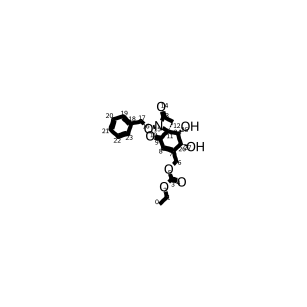 CCOC(=O)OCC1=CC(=O)[C@]2(CC(=O)N2OCc2ccccc2)[C@H](O)[C@@H]1O